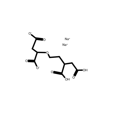 O=C([O-])CC(OCCC(CC(=O)O)C(=O)O)C(=O)[O-].[Na+].[Na+]